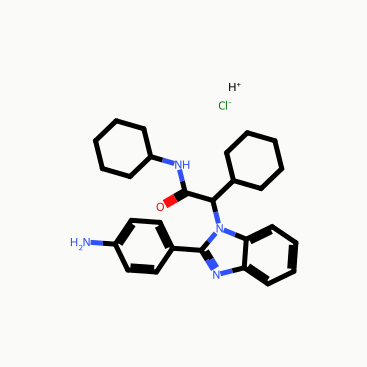 Nc1ccc(-c2nc3ccccc3n2C(C(=O)NC2CCCCC2)C2CCCCC2)cc1.[Cl-].[H+]